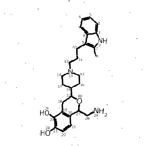 Cc1[nH]c2ccccc2c1CCCN1CCC(C2Cc3c(ccc(O)c3O)C(CN)O2)CC1